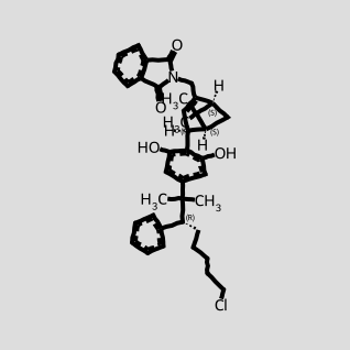 CC(C)(c1cc(O)c([C@H]2C=C(CN3C(=O)c4ccccc4C3=O)[C@H]3C[C@@H]2C3(C)C)c(O)c1)[C@H](CCCCCCl)c1ccccc1